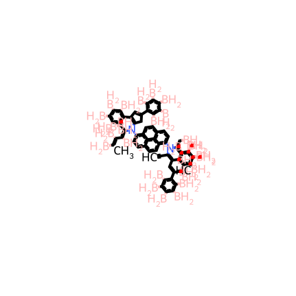 B=C(B)/C(=C(B)\C(B)=C(\B)C)N(C1=C(c2c(B)c(B)c(B)c(B)c2B)C=C(c2c(B)c(B)c(B)c(B)c2B)C1)c1ccc2ccc3c(N(/C(C#C)=C(/C=C(\CB)c4c(B)c(B)c(B)c(B)c4B)c4c(B)c(B)c(B)c(B)c4B)/C(CB)=C(B)/C(B)=C(/B)C#C)ccc4ccc1c2c43